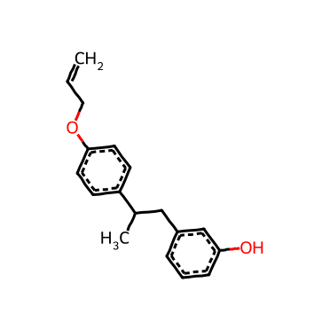 C=CCOc1ccc(C(C)Cc2cccc(O)c2)cc1